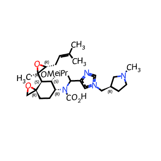 CO[C@@H]1[C@H](N(C(=O)O)C(c2cn(C[C@@H]3CCN(C)C3)cn2)C(C)C)CC[C@]2(CO2)[C@H]1[C@@]1(C)O[C@@H]1CC=C(C)C